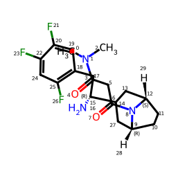 CN(C)C(=O)CC(=O)N1[C@@H]2CC[C@H]1CC([C@H](N)Cc1cc(F)c(F)cc1F)C2